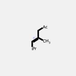 CC(=O)C/C(C)=C/C(C)C